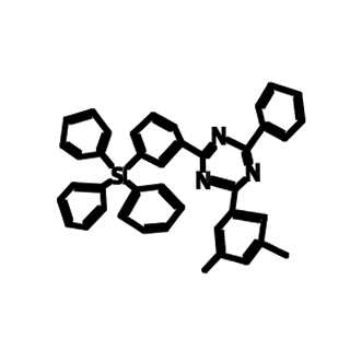 Cc1cc(C)cc(-c2nc(-c3ccccc3)nc(-c3cccc([Si](c4ccccc4)(c4ccccc4)c4ccccc4)c3)n2)c1